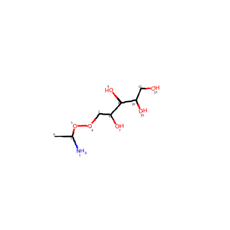 CC(N)OOCC(O)C(O)C(O)CO